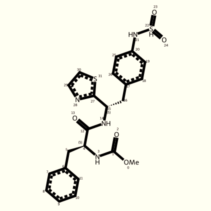 COC(=O)N[C@@H](Cc1ccccc1)C(=O)N[C@@H](Cc1ccc(N[SH](=O)=O)cc1)c1nccs1